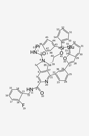 CC(C)NC(=O)N1Cc2cc(C(=O)NCc3ccccc3F)nc(-c3cccc(-c4cc5ccccc5o4)c3)c2[C@H]1CCO[Si](c1ccccc1)(c1ccccc1)C(C)(C)C